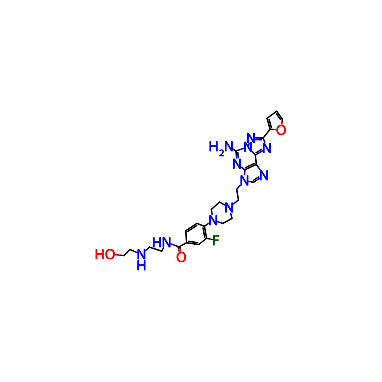 Nc1nc2c(ncn2CCN2CCN(c3ccc(C(=O)NCCNCCO)cc3F)CC2)c2nc(-c3ccco3)nn12